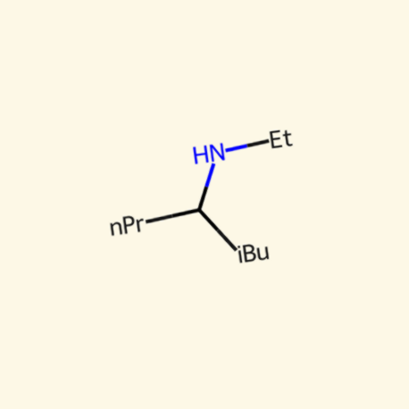 CCCC(NCC)C(C)CC